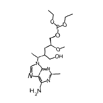 CCOP(OCC)OC[C@H](CC(CO)C(C)n1cnc2c(N)nc(C)nc21)OC